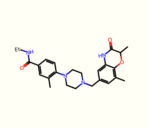 CCNC(=O)c1ccc(N2CCN(Cc3cc(C)c4c(c3)NC(=O)C(C)O4)CC2)c(C)c1